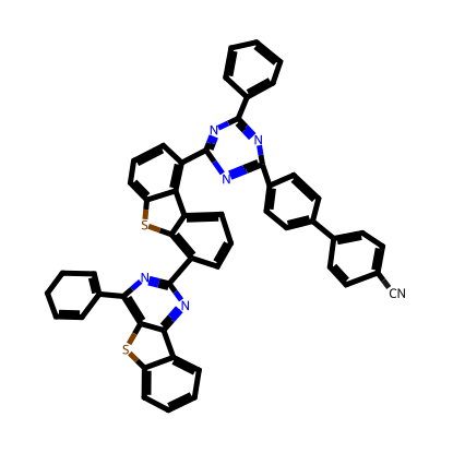 N#Cc1ccc(-c2ccc(-c3nc(-c4ccccc4)nc(-c4cccc5sc6c(-c7nc(C8=CCCC=C8)c8sc9ccccc9c8n7)cccc6c45)n3)cc2)cc1